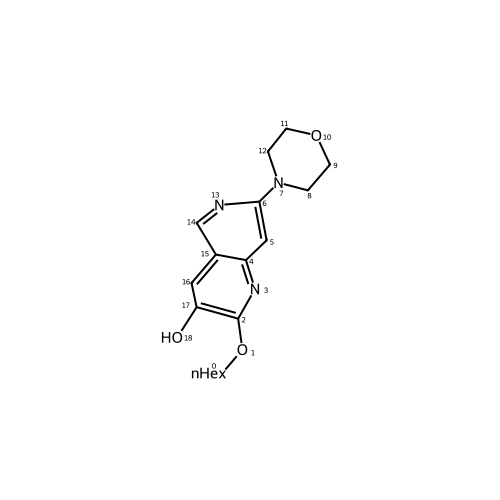 CCCCCCOc1nc2cc(N3CCOCC3)ncc2cc1O